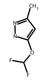 CC1=N[N]C(OC(F)F)=C1